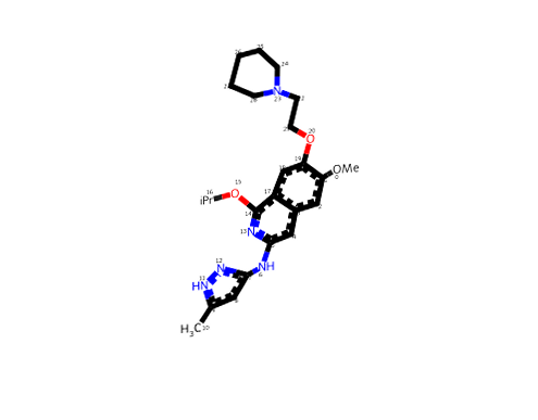 COc1cc2cc(Nc3cc(C)[nH]n3)nc(OC(C)C)c2cc1OCCN1CCCCC1